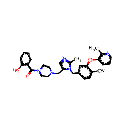 Cc1ncccc1Oc1cc(Cn2c(CN3CCN(C(=O)c4ccccc4O)CC3)cnc2C)ccc1C#N